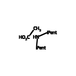 CC(=O)O.CCCC(C)NC(C)CCC